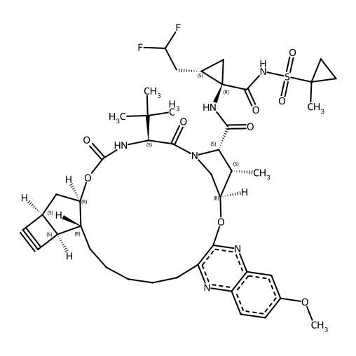 COc1ccc2nc3c(nc2c1)O[C@H]1CN(C(=O)[C@H](C(C)(C)C)NC(=O)O[C@@H]2C[C@@H]4C#C[C@@H]4[C@H]2CCCCC3)[C@H](C(=O)N[C@]2(C(=O)NS(=O)(=O)C3(C)CC3)C[C@H]2CC(F)F)[C@@H]1C